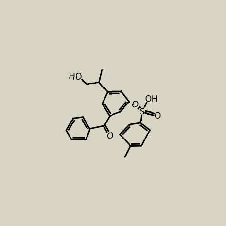 CC(CO)c1cccc(C(=O)c2ccccc2)c1.Cc1ccc(S(=O)(=O)O)cc1